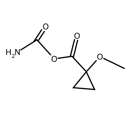 COC1(C(=O)OC(N)=O)CC1